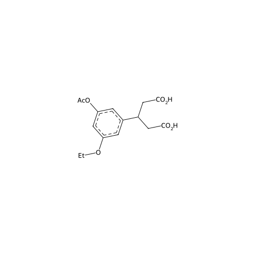 CCOc1cc(OC(C)=O)cc(C(CC(=O)O)CC(=O)O)c1